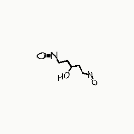 O=NCCC(O)CCN=O